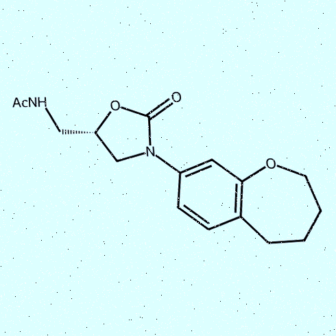 CC(=O)NC[C@H]1CN(c2ccc3c(c2)OCCCC3)C(=O)O1